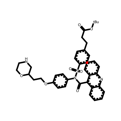 CC(C)(C)OC(=O)CCc1ccc(S(=O)(=O)N(C(=O)c2c3ccccc3nc3ccccc23)c2ccc(OCCC3CNCCO3)cc2)cc1